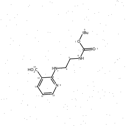 CC(C)(C)OC(=O)NCCNc1ncccc1C(=O)O